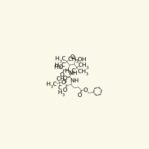 CC(C)(C)OC(=O)C(CCC(=O)OCc1ccccc1)NC(=O)NC(C(=O)O)C(C(C(=O)O)C(C)(C)C)C(C)(C)C